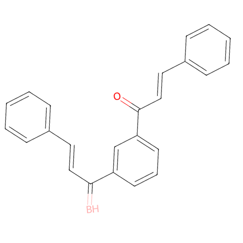 B=C(/C=C/c1ccccc1)c1cccc(C(=O)/C=C/c2ccccc2)c1